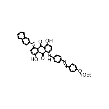 CCCCCCCCOc1ccc(N=Nc2ccc(Nc3ccc(O)c4c3C(=O)c3c(O)ccc(Sc5ccc6ccccc6c5)c3C4=O)cc2)cc1